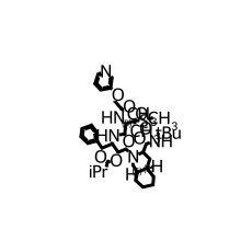 CC(C)C(=O)OC(CN1C[C@H]2CCCC[C@H]2CC1C(=O)NC(C)(C)C)C(Cc1ccccc1)NC(=O)[C@@H](NC(=O)COc1cccnc1)C(C)(C)S(C)(=O)=O